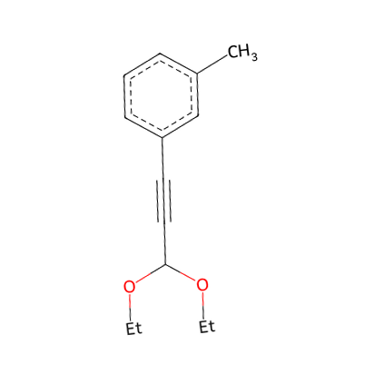 CCOC(C#Cc1cccc(C)c1)OCC